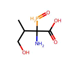 CC(CO)C(N)([PH2]=O)C(=O)O